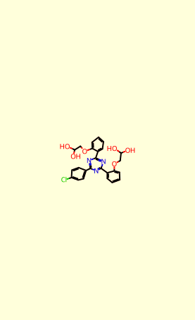 OC(O)COc1ccccc1-c1nc(-c2ccc(Cl)cc2)nc(-c2ccccc2OCC(O)O)n1